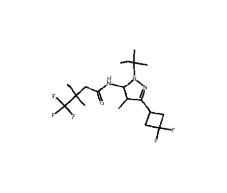 CC1C(C2CC(F)(F)C2)=NN(C(C)(C)C)C1NC(=O)CC(C)(C)C(F)(F)F